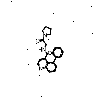 O=C(NCC(=O)N1CCCC1)c1ccnc2cccc(-c3ccccc3)c12